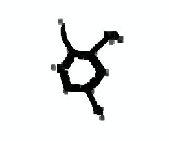 O=[N+]([O-])c1cc(Br)cnc1I